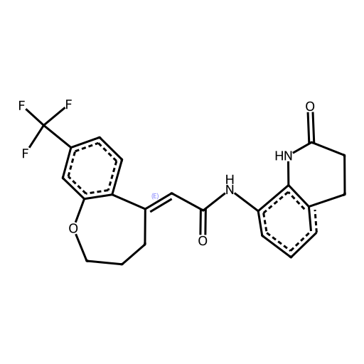 O=C(/C=C1\CCCOc2cc(C(F)(F)F)ccc21)Nc1cccc2c1NC(=O)CC2